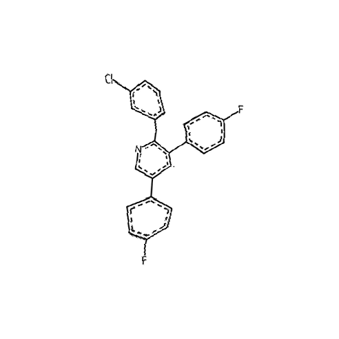 Fc1ccc(-c2[c]c(-c3ccc(F)cc3)c(-c3cccc(Cl)c3)nc2)cc1